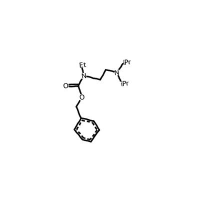 CCN(CCN(C(C)C)C(C)C)C(=O)OCc1ccccc1